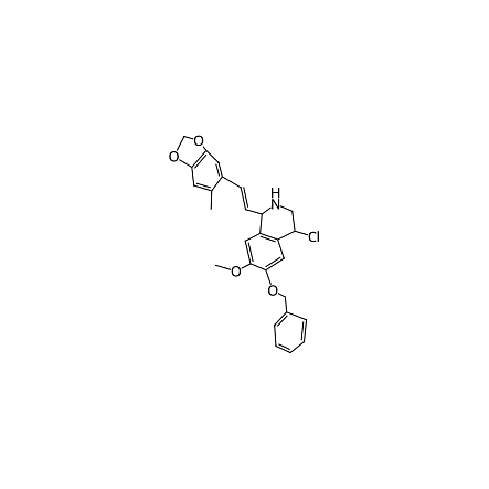 COc1cc2c(cc1OCc1ccccc1)C(Cl)CNC2/C=C/c1cc2c(cc1C)OCO2